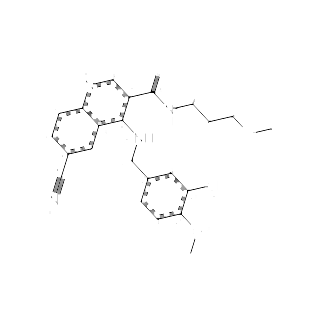 COCCCNC(=O)c1cnc2ccc(C#N)cc2c1NCc1ccc(OC)c(Cl)c1